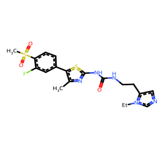 CCn1cncc1CCNC(=O)Nc1nc(C)c(-c2ccc(S(C)(=O)=O)c(F)c2)s1